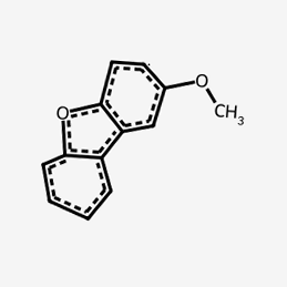 COc1[c]cc2oc3ccccc3c2c1